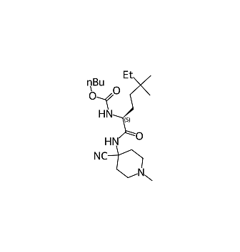 CCCCOC(=O)N[C@@H](CCC(C)(C)CC)C(=O)NC1(C#N)CCN(C)CC1